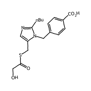 CCCCc1ncc(CSC(=O)CO)n1Cc1ccc(C(=O)O)cc1